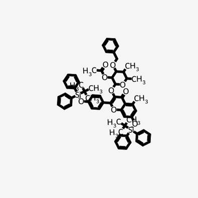 CC(=O)OC1C(Oc2c(-c3ccc(O[Si](c4ccccc4)(c4ccccc4)C(C)(C)C)cc3)oc3cc(O[Si](c4ccccc4)(c4ccccc4)C(C)(C)C)cc(C)c3c2=O)OC(C)C(C)C1OCc1ccccc1